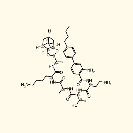 CCCCc1ccc(-c2ccc(C(=O)N[C@@H](CCN)C(=O)N[C@H](C(=O)N[C@@H](C)C(=O)N[C@@H](CCCCN)C(=O)N[C@@H](C)B3O[C@@H]4C[C@@H]5C[C@@H](C5(C)C)[C@]4(C)O3)[C@@H](C)O)c(N)c2)cc1